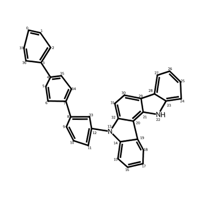 c1ccc(-c2ccc(-c3cccc(-n4c5ccccc5c5c6[nH]c7ccccc7c6ccc54)c3)cc2)cc1